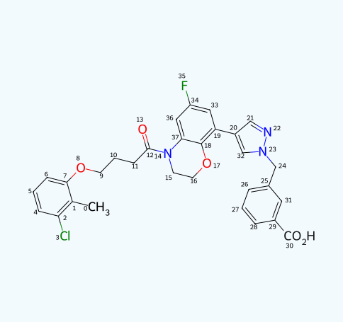 Cc1c(Cl)cccc1OCCCC(=O)N1CCOc2c(-c3cnn(Cc4cccc(C(=O)O)c4)c3)cc(F)cc21